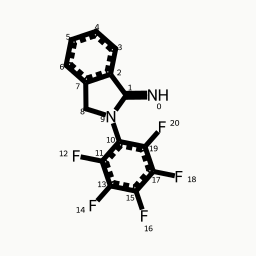 N=C1c2ccccc2CN1c1c(F)c(F)c(F)c(F)c1F